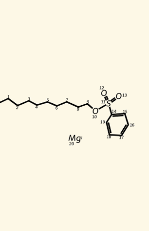 CC(C)CCCCCCCCCOS(=O)(=O)c1ccccc1.[Mg]